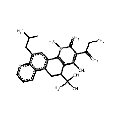 C=C(CC)C1=C(C)C2=C(c3cc(CC(C)F)c4ncccc4c3CC2C(C)(C)C)N(C)C1=C